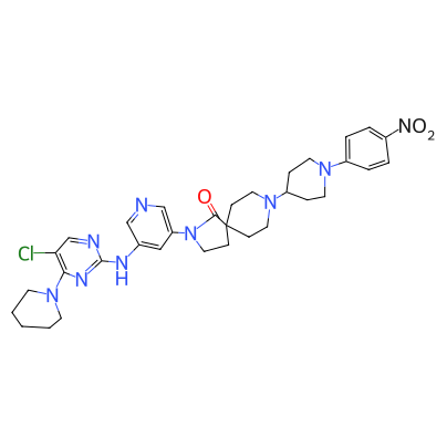 O=C1N(c2cncc(Nc3ncc(Cl)c(N4CCCCC4)n3)c2)CCC12CCN(C1CCN(c3ccc([N+](=O)[O-])cc3)CC1)CC2